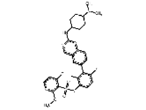 COc1nccc(Cl)c1S(=O)(=O)Nc1ccc(F)c(-c2ccc3nc(NC4CCC(N(C)C)CC4)ncc3c2)c1F